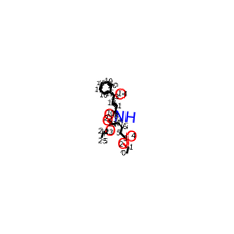 CCOC(=O)CC[C@H](NC(=O)C=CC(=O)c1ccccc1)C(=O)OCC